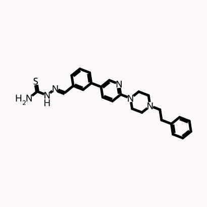 NC(=S)NN=Cc1cccc(-c2ccc(N3CCN(CCc4ccccc4)CC3)nc2)c1